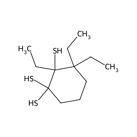 CCC1(CC)CCCC(S)(S)C1(S)CC